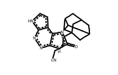 N#CCCOC12CC3CC(C1)C(n1c(=O)[nH]c4nnc5[nH]ccc5c41)C(C3)C2